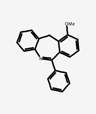 COc1cccc2c1Cc1ccccc1N=C2c1ccccc1